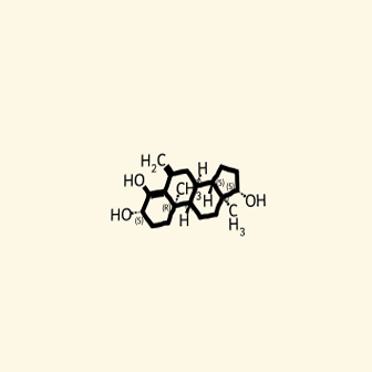 C=C1C[C@H]2[C@@H]3CC[C@H](O)[C@@]3(C)CC[C@@H]2[C@@]2(C)CC[C@H](O)C(O)=C12